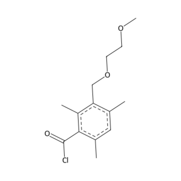 COCCOCc1c(C)cc(C)c(C(=O)Cl)c1C